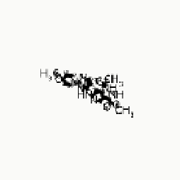 COC(=O)C(=N)c1cnc(Nc2ccnc(N3CCC(OC)CC3)n2)cc1NC(C)C